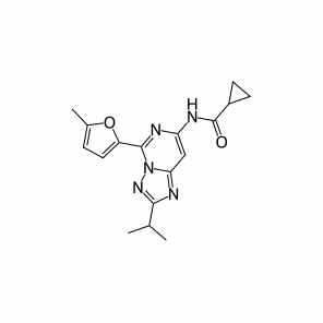 Cc1ccc(-c2nc(NC(=O)C3CC3)cc3nc(C(C)C)nn23)o1